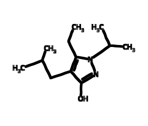 CCc1c(CC(C)C)c(O)nn1C(C)C